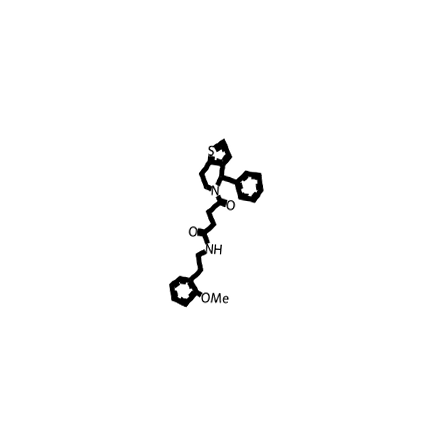 COc1ccccc1CCNC(=O)CCC(=O)N1CCc2sccc2C1c1ccccc1